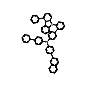 C1=CC2C(C(c3ccccc3)=C1)c1ccccc1N2c1ccccc1-c1ccc(N(c2ccc(-c3ccccc3)cc2)c2ccc(-c3ccc4ccccc4c3)cc2)cc1